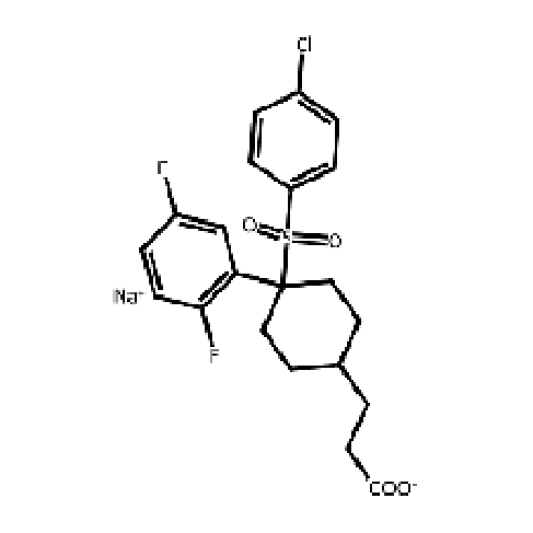 O=C([O-])CCC1CCC(c2cc(F)ccc2F)(S(=O)(=O)c2ccc(Cl)cc2)CC1.[Na+]